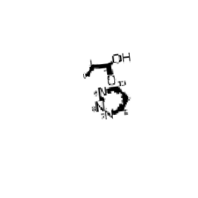 CCC(=O)O.c1cnnnc1